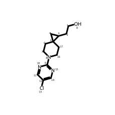 OCCC1CC12CCN(c1ncc(Cl)cn1)CC2